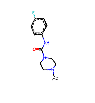 CC(=O)N1CCN(C(=O)Nc2ccc(F)cc2)CC1